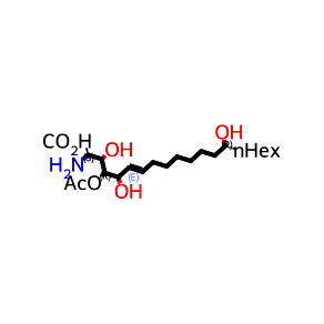 CCCCCC[C@@H](O)CCCCCC/C=C/C(O)[C@@H](OC(C)=O)C(O)[C@H](N)C(=O)O